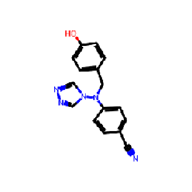 N#Cc1ccc(N(Cc2ccc(O)cc2)n2cnnc2)cc1